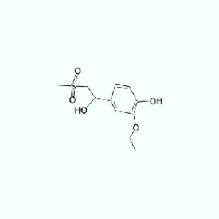 CCOc1cc(C(O)CS(C)(=O)=O)ccc1O